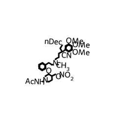 CCCCCCCCCCCCC(C#N)(CCCN(C)CCc1ccccc1OC1CN(NC(C)=O)CCC1CO[N+](=O)[O-])c1cc(OC)c(OC)c(OC)c1